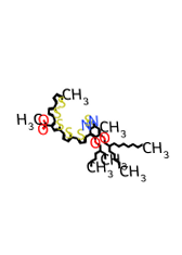 CCCCCCCCC(CCCCCC)COc1c(OCC(CC)CCCC)c(-c2ccc(-c3ccc(-c4cc(C(=O)OC)c(-c5ccc(-c6ccc(C)s6)s5)s4)s3)s2)c2nsnc2c1C